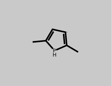 Cc1[c]cc(C)[pH]1